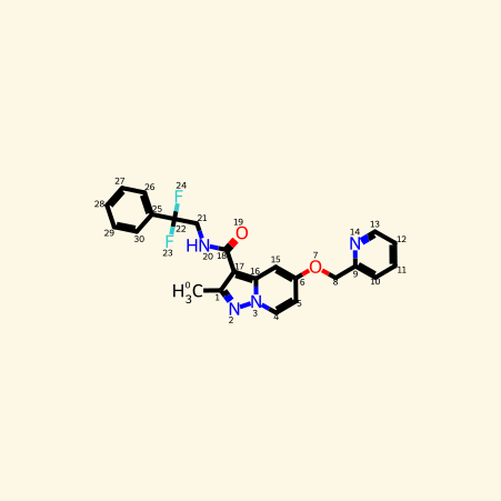 Cc1nn2ccc(OCc3ccccn3)cc2c1C(=O)NCC(F)(F)c1ccccc1